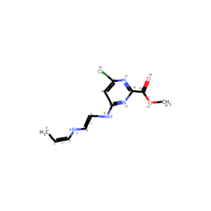 C/C=C\N/C=C/Nc1cc(Cl)nc(C(=O)OC)n1